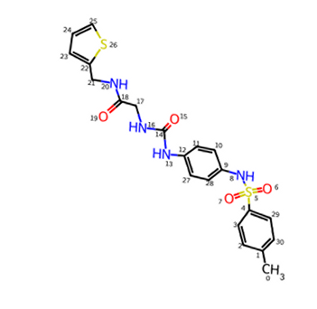 Cc1ccc(S(=O)(=O)Nc2ccc(NC(=O)NCC(=O)NCc3cccs3)cc2)cc1